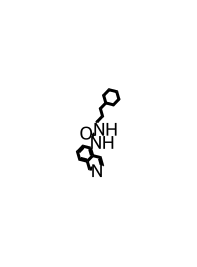 O=C(NCCCC1CCCCC1)Nc1cccc2cnccc12